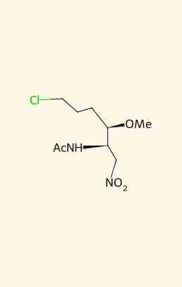 CO[C@H](CCCCl)[C@@H](C[N+](=O)[O-])NC(C)=O